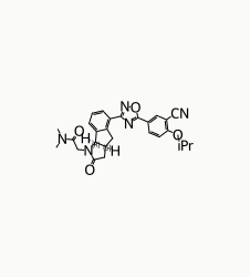 CC(C)Oc1ccc(-c2nc(-c3cccc4c3C[C@H]3CC(=O)N(CC(=O)N(C)C)[C@@H]43)no2)cc1C#N